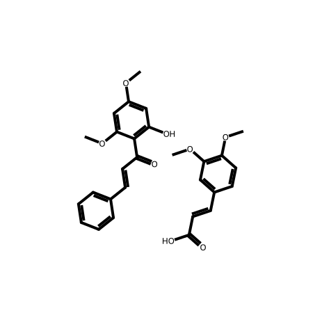 COc1cc(O)c(C(=O)C=Cc2ccccc2)c(OC)c1.COc1ccc(C=CC(=O)O)cc1OC